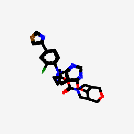 CC1(OC(=O)N2CC3COCC(C2)C3Oc2ncnc3c2cnn3-c2ccc(-c3cscn3)cc2F)CC1